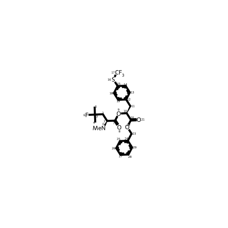 CN[C@@H](CC(C)(C)F)C(=O)O[C@@H](Cc1ccc(SC(F)(F)F)cc1)C(=O)OCc1ccccc1